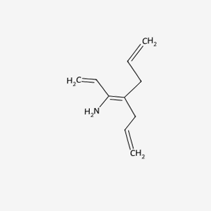 C=CCC(CC=C)=C(N)C=C